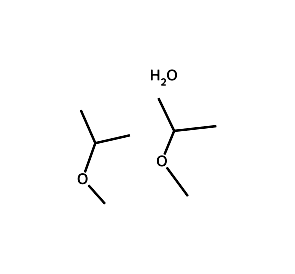 COC(C)C.COC(C)C.O